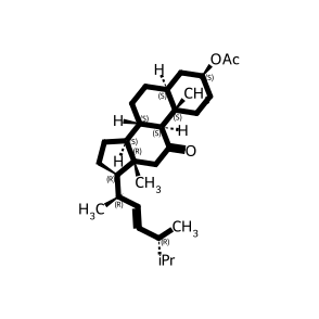 CC(=O)O[C@H]1CC[C@@]2(C)[C@@H](CC[C@H]3[C@@H]4CC[C@H]([C@H](C)C=C[C@H](C)C(C)C)[C@@]4(C)CC(=O)[C@@H]32)C1